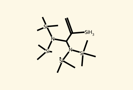 C=C([SiH3])C(N([Si](C)(C)C)[Si](C)(C)C)N([Si](C)(C)C)[Si](C)(C)C